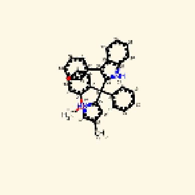 COc1ccccc1[C@@](c1ccccc1)(c1cc(C)c[nH]1)c1[nH]c2ccccc2c1-c1ccccc1